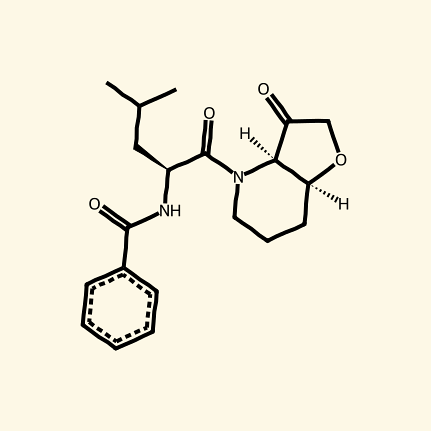 CC(C)C[C@H](NC(=O)c1ccccc1)C(=O)N1CCC[C@@H]2OCC(=O)[C@@H]21